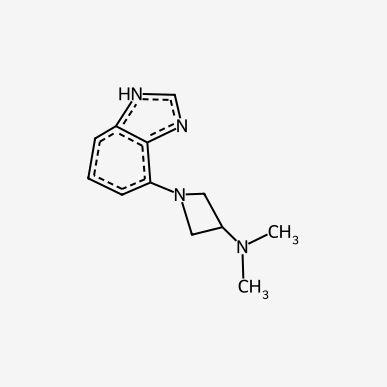 CN(C)C1CN(c2cccc3[nH]cnc23)C1